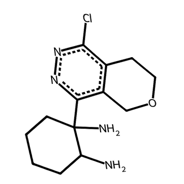 NC1CCCCC1(N)c1nnc(Cl)c2c1COCC2